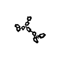 c1ccc(-c2ccc(N(c3ccc(-c4ccc5c(c4)c4ccccc4n5-c4ccccc4)cc3)c3ccc(-c4cccc5ccccc45)cc3)cc2)cc1